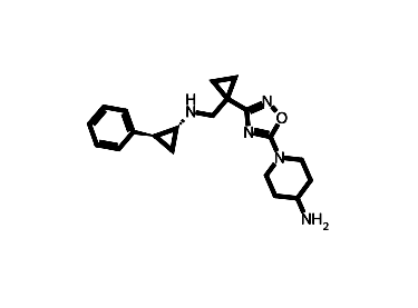 NC1CCN(c2nc(C3(CN[C@@H]4C[C@H]4c4ccccc4)CC3)no2)CC1